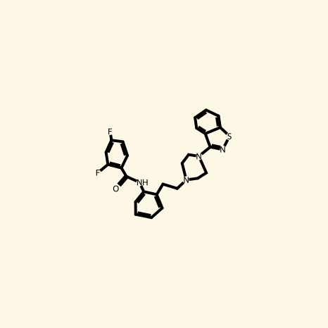 O=C(Nc1ccccc1CCN1CCN(c2nsc3ccccc23)CC1)c1ccc(F)cc1F